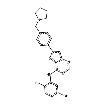 Oc1ccc(Cl)c(Nc2ncnc3cc(-c4ccc(CN5CCCC5)cc4)sc23)c1